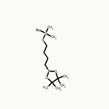 CC1(C)OB(CCCCO[Si](C)(C)C(C)(C)C)OC1(C)C